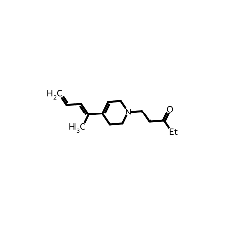 C=C/C=C(\C)C1=CCN(CCC(=O)CC)CC1